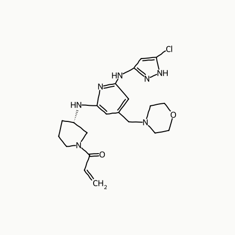 C=CC(=O)N1CCC[C@H](Nc2cc(CN3CCOCC3)cc(Nc3cc(Cl)[nH]n3)n2)C1